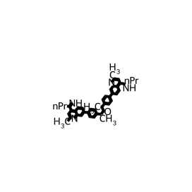 CCCC(=N)c1cc(C)nc2cc(-c3ccc(C(C)C(=O)C(C)c4ccc(-c5ccc6c(C(=N)CCC)cc(C)nc6c5)cc4)cc3)ccc12